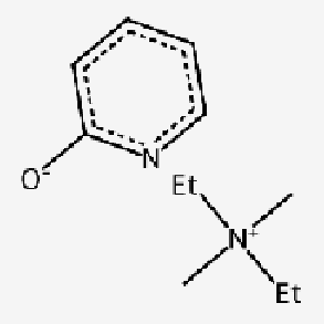 CC[N+](C)(C)CC.[O-]c1ccccn1